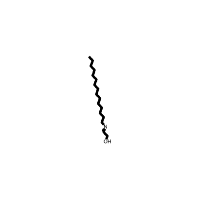 CCCCCCCCCCCCCCCN=CCO